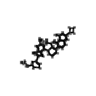 COC1=CC(c2nc3c(C4CC=CC(n5ccc6cc(C7CCC7)cc(F)c6c5=O)=C4CO)nc(N)nc3[nH]2)=CCC1